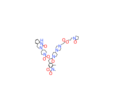 Cc1cc(C[C@@H](OC(=O)N2CCC(N3CCc4ccccc4NC3=O)CC2)C(=O)N2CCC(N3CCN(CCC(=O)OCCCN4CCCC4=O)CC3)CC2)cc2oc(=O)n(C)c12